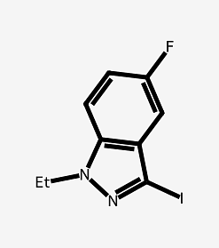 CCn1nc(I)c2cc(F)ccc21